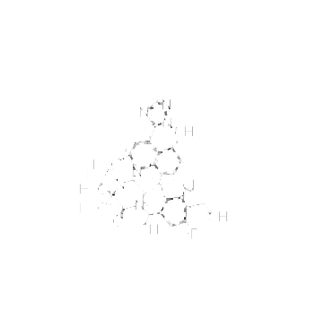 CCc1c(F)cc(C(C)N2CCN(C)C(C)(C)C2=O)c(Oc2cccc3c(-c4ncnn4C)cc(C)nc23)c1Cl